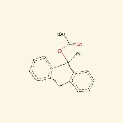 CC(C)C1(OC(=O)C(C)(C)C)c2ccccc2Cc2ccccc21